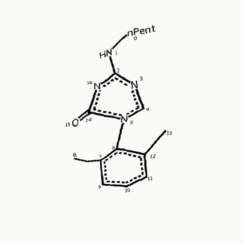 CCCCCNc1ncn(-c2c(C)cccc2C)c(=O)n1